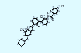 Cc1c(-c2nc3cc(CN4CCCCC4)cc(Cl)c3o2)cccc1-c1cccc(NC(=O)c2ccc(C=O)cn2)c1Cl